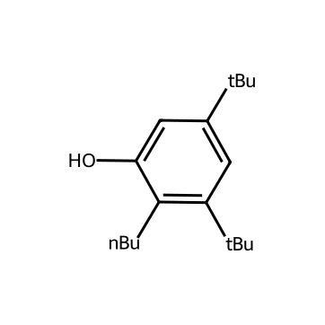 CCCCc1c(O)cc(C(C)(C)C)cc1C(C)(C)C